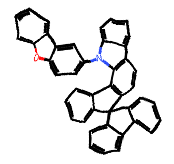 c1ccc2c(c1)-c1ccccc1C21c2ccccc2-c2c1ccc1c3ccccc3n(-c3ccc4oc5ccccc5c4c3)c21